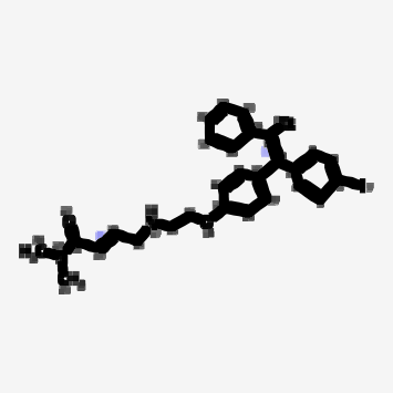 CC/C(=C(\c1ccc(I)cc1)c1ccc(OCCNC/C=C/C(=O)N(C)C)cc1)c1ccccc1